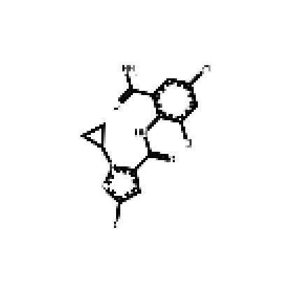 NC(=O)c1cc(Cl)cc(Cl)c1NC(=O)c1cc(Cl)nn1C1CC1